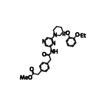 CCOc1ccccc1O[C@@H]1CCCN(c2cncc(NC(=O)Cc3ccc(CC(=O)OC)cc3)n2)C1